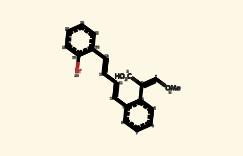 CO/C=C(/C(=O)O)c1ccccc1C=C/C=C/c1ccccc1Br